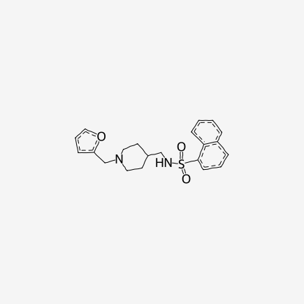 O=S(=O)(NCC1CCN(Cc2ccco2)CC1)c1cccc2ccccc12